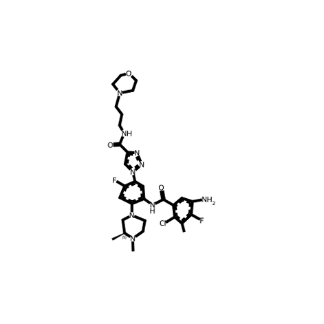 Cc1c(F)c(N)cc(C(=O)Nc2cc(-n3cc(C(=O)NCCCN4CCOCC4)nn3)c(F)cc2N2CCN(C)[C@@H](C)C2)c1Cl